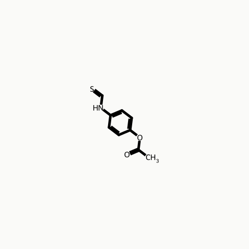 CC(=O)Oc1ccc(NC=S)cc1